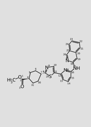 COC(=O)[C@H]1CC[C@H](c2ncc(-c3cccc(Nc4cc5ccccc5cn4)n3)s2)CC1